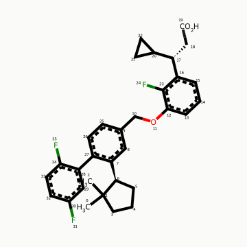 CC1(C)CCC[C@@H]1c1cc(COc2cccc([C@@H](CC(=O)O)C3CC3)c2F)ccc1-c1cc(F)ccc1F